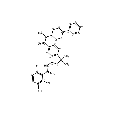 Cc1ccc(F)c(C(=O)NC2CC(C)(C)c3ccc(C(=O)N(C)C4CCN(c5ccncc5)CC4)cc32)c1Cl